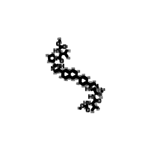 COC(=O)N[C@H](C(=O)N[C@H](c1ncc(-c2ccc(-c3ccc4cc(-c5cnc([C@@H]6CCCN6C(=O)[C@@H](NC(=O)OC)C(C)C)[nH]5)ccc4c3)cc2)[nH]1)[SiH](C)C)C(C)C